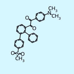 CN(C)c1ccc(C(=O)C(=O)c2cccc(-c3ccc(S(C)(=O)=O)cc3)c2-c2ccccc2)cc1